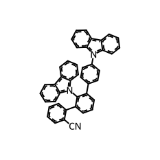 N#Cc1ccccc1-c1cccc(-c2ccc(-n3c4ccccc4c4ccccc43)cc2)c1-n1c2ccccc2c2ccccc21